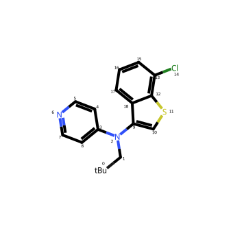 CC(C)(C)CN(c1ccncc1)c1csc2c(Cl)cccc12